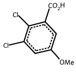 COc1cc(Cl)c(Cl)c(C(=O)O)c1